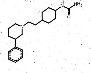 NC(=O)NC1CCC(CCN2CCCC(c3ccccc3)C2)CC1